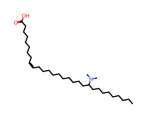 CCCCCCCCCC(CCCCCCCCCC/C=C\CCCCCCCC(=O)O)N(C)C